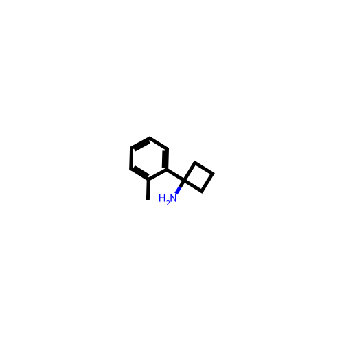 Cc1ccccc1C1(N)CCC1